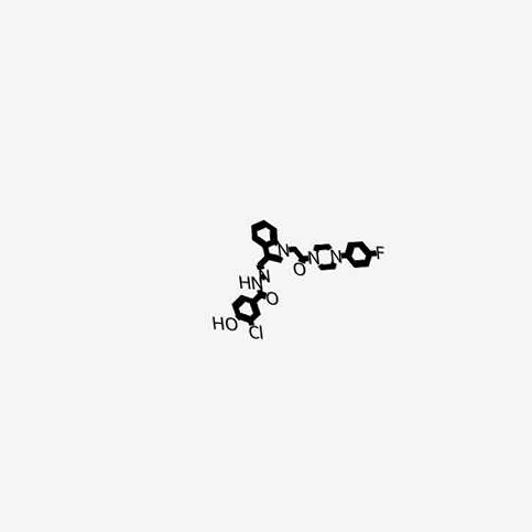 O=C(N/N=C/c1cn(CC(=O)N2CCN(c3ccc(F)cc3)CC2)c2ccccc12)c1ccc(O)c(Cl)c1